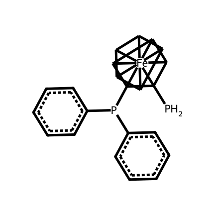 P[C]12[CH]3[CH]4[CH]5[C]1(P(c1ccccc1)c1ccccc1)[Fe]43521678[CH]2[CH]1[CH]6[CH]7[CH]28